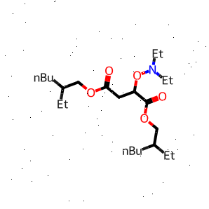 CCCCC(CC)COC(=O)CC(ON(CC)CC)C(=O)OCC(CC)CCCC